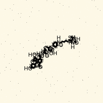 O=C(CCCC[C@H]1SC[C@H]2NC(=O)N[C@H]21)Nc1ccc(SCC2=C(C(=O)O)N3C(=O)[C@H](NOC(=O)c4ccc5c(c4)C4(OC5=O)c5ccc(O)cc5Oc5cc(O)ccc54)[C@@H]3SC2)cc1